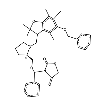 Cc1c(C)c2c(c(C)c1OCc1ccccc1)C(CN1CCC[C@@H]1COC(c1ccccc1)N1C(=O)CSC1=O)C(C)(C)O2